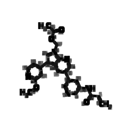 C=CC(=O)Nc1cncc(-c2cnc3c(c2)c(-c2ccnc(OC)c2)cn3COC(C)=O)c1